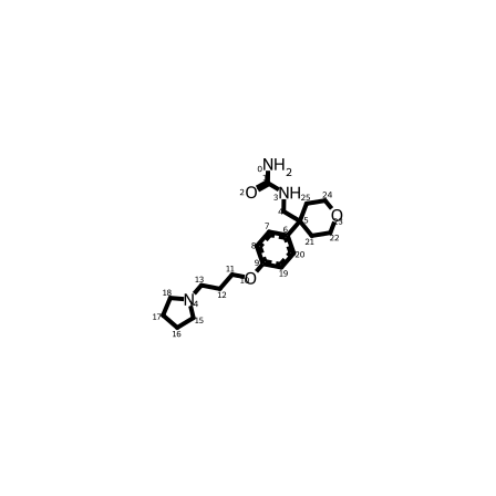 NC(=O)NCC1(c2ccc(OCCCN3CCCC3)cc2)CCOCC1